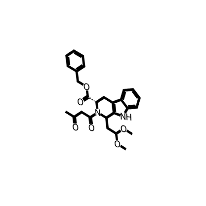 COC(CC1c2[nH]c3ccccc3c2C[C@@H](C(=O)OCc2ccccc2)N1C(=O)CC(C)=O)OC